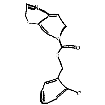 O=C(OCc1ccccc1Cl)N1C=c2scnc2=CC1